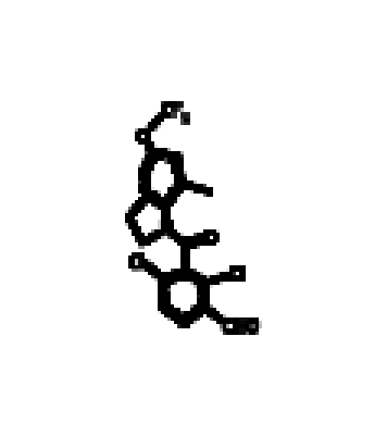 Cc1cc(OC(F)(F)F)cc2c1N(C(=O)c1c(Cl)ccc(C=O)c1Cl)CC2